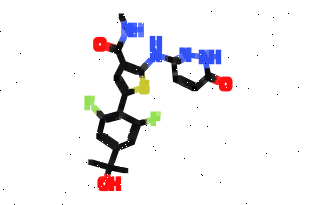 CNC(=O)c1cc(-c2c(F)cc(C(C)(C)O)cc2F)sc1Nc1ccc(=O)[nH]n1